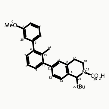 COc1cccc(-c2cccc(-c3ccc4c(c3)CCN(C(=O)O)C4C(C)(C)C)c2C)c1